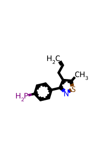 C=CCc1c(-c2ccc(P)cc2)nsc1C